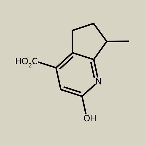 CC1CCc2c(C(=O)O)cc(O)nc21